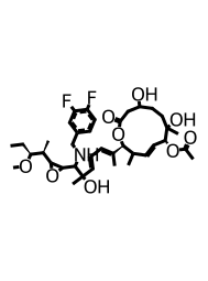 CC[C@H](OC)[C@@H](C)C1OC1C(NCc1ccc(F)c(F)c1)C(C)(O)/C=C/C=C(\C)[C@H]1OC(=O)CC(O)CCC(C)(O)[C@@H](OC(C)=O)/C=C/C1C